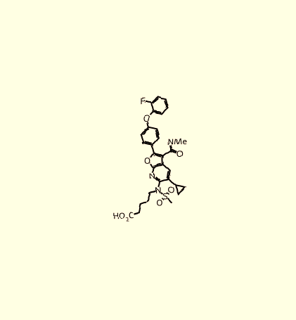 CNC(=O)c1c(-c2ccc(Oc3ccccc3F)cc2)oc2nc(N(CCCCC(=O)O)S(C)(=O)=O)c(C3CC3)cc12